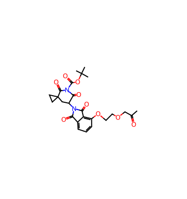 CC(=O)COCCOc1cccc2c1C(=O)N(C1CC3(CC3)C(=O)N(C(=O)OC(C)(C)C)C1=O)C2=O